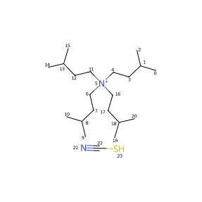 CC(C)CC[N+](CCC(C)C)(CCC(C)C)CCC(C)C.N#CS